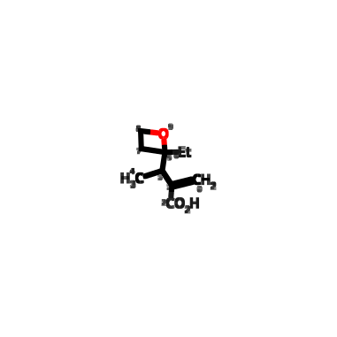 C=C(C(=O)O)C(C)C1(CC)CCO1